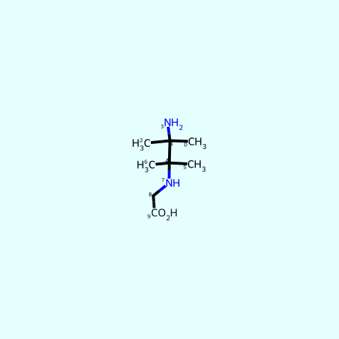 CC(C)(N)C(C)(C)NCC(=O)O